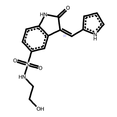 O=C1Nc2ccc(S(=O)(=O)NCCO)cc2/C1=C/c1ccc[nH]1